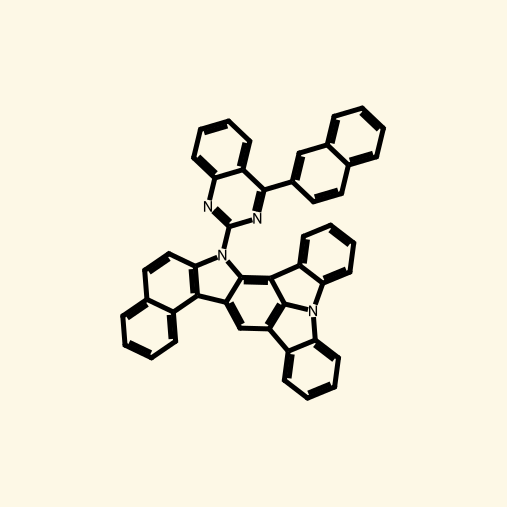 c1ccc2cc(-c3nc(-n4c5ccc6ccccc6c5c5cc6c7ccccc7n7c8ccccc8c(c54)c67)nc4ccccc34)ccc2c1